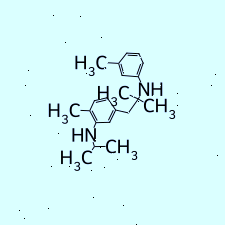 Cc1cccc(NC(C)(C)Cc2ccc(C)c(NC(C)C)c2)c1